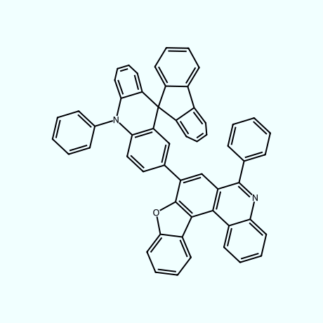 c1ccc(-c2nc3ccccc3c3c2cc(-c2ccc4c(c2)C2(c5ccccc5-c5ccccc52)c2ccccc2N4c2ccccc2)c2oc4ccccc4c23)cc1